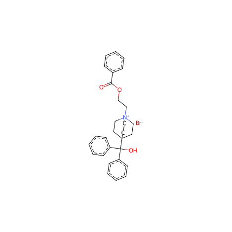 O=C(OCC[N+]12CCC(C(O)(c3ccccc3)c3ccccc3)(CC1)CC2)c1ccccc1.[Br-]